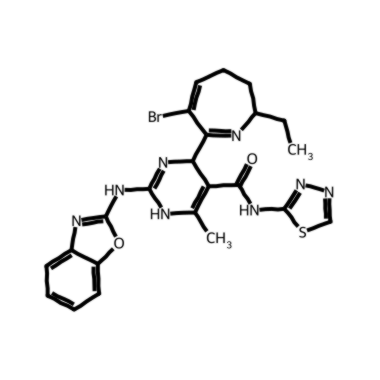 CCC1CCC=C(Br)C(C2N=C(Nc3nc4ccccc4o3)NC(C)=C2C(=O)Nc2nncs2)=N1